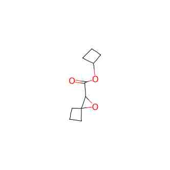 O=C(OC1CCC1)C1OC12CCC2